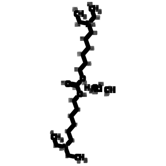 CCN(CC)CCCCCCOC(=O)OCCCCCCN(CC)CC.Cl.Cl.O